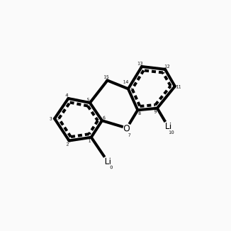 [Li][c]1cccc2c1Oc1[c]([Li])cccc1C2